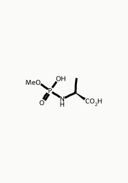 COP(=O)(O)N[C@@H](C)C(=O)O